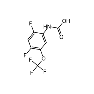 O=C(O)Nc1cc(OC(F)(F)F)c(F)cc1F